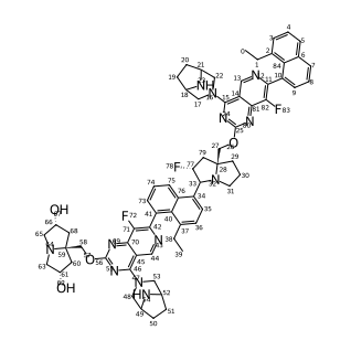 CCc1cccc2cccc(-c3ncc4c(N5CC6CCC(C5)N6)nc(OC[C@@]56CCCN5C(c5ccc(CC)c7c(-c8ncc9c(N%10CC%11CCC(C%10)N%11)nc(OC[C@@]%10%11C[C@H](O)CN%10C[C@H](O)C%11)nc9c8F)cccc57)[C@H](F)C6)nc4c3F)c12